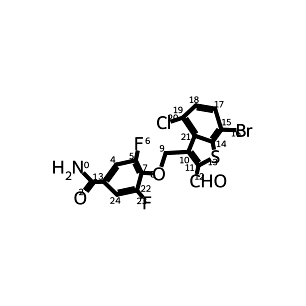 NC(=O)c1cc(F)c(OCc2c(C=O)sc3c(Br)ccc(Cl)c23)c(F)c1